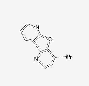 CC(C)c1ccnc2c1oc1ncccc12